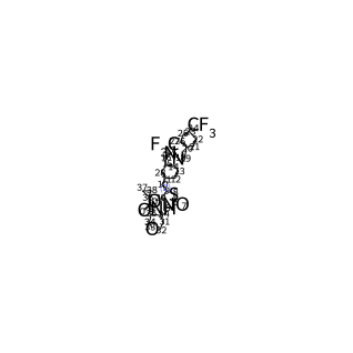 O=C(NC1(CN2C(=O)S/C(=C\c3ccc4c(cnn4Cc4ccc(C(F)(F)F)cc4C(F)(F)F)c3)C2=O)CCOCC1)C1CC1